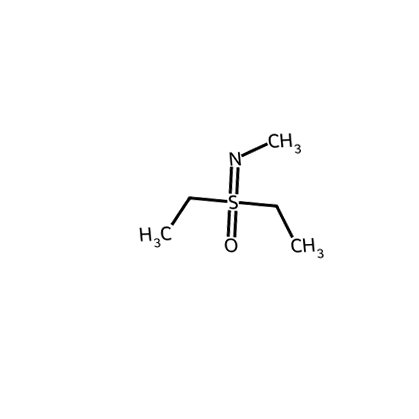 CCS(=O)(CC)=NC